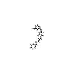 COc1cccc(CN2C[C@@H]3[C@@H](COCCCN4CCCCC4)[C@@H]3C2)c1